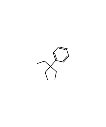 CCC(CC)(CC)c1cc[c]cc1